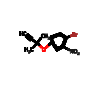 C#CC(C)(C)Oc1ccc(Br)c([N+](=O)[O-])c1